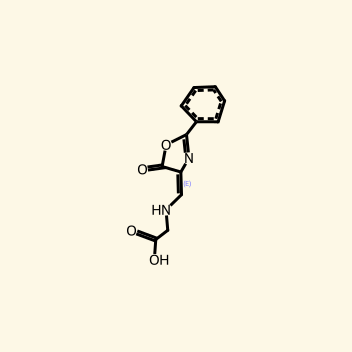 O=C(O)CN/C=C1/N=C(c2ccccc2)OC1=O